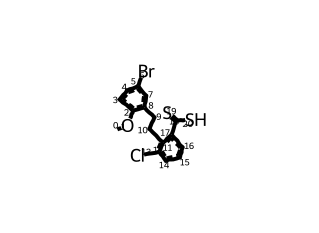 COc1ccc(Br)cc1CCc1c(Cl)cccc1C(=S)S